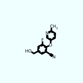 Cc1ccc(Oc2c(F)cc(CO)cc2C#N)cn1